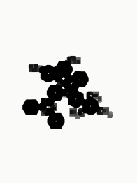 Cc1cc(C)c(-c2ccc3c(c2)c2c4ccccc4c4c5c2n3-c2cc(-c3nc(-c6ccccc6)nc(-c6ccccc6)n3)ccc2B5n2c3ccc(C(C)(C)C)cc3c3cc(C(C)(C)C)cc-4c32)c(C)c1